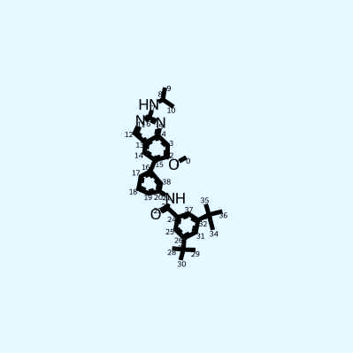 COc1cc2nc(NC(C)C)ncc2cc1-c1cccc(NC(=O)c2cc(C(C)(C)C)cc(C(C)(C)C)c2)c1